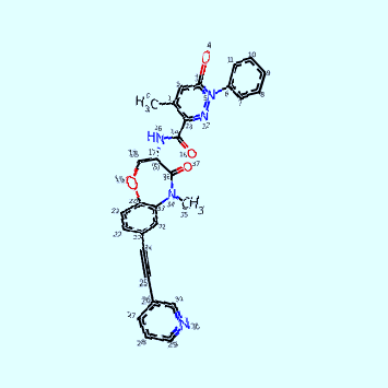 Cc1cc(=O)n(-c2ccccc2)nc1C(=O)N[C@H]1COc2ccc(C#Cc3cccnc3)cc2N(C)C1=O